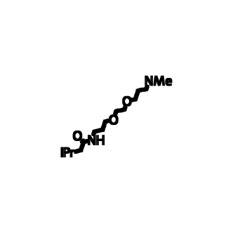 CNCCCOCCOCCCNC(=O)CC(C)C